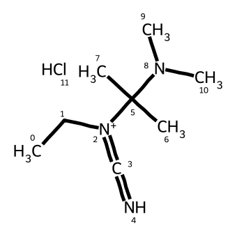 CC[N+](=C=N)C(C)(C)N(C)C.Cl